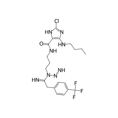 CCCCNc1nc(Cl)[nH]c1C(=O)NCCCN(N=N)C(=N)Cc1ccc(C(F)(F)F)cc1